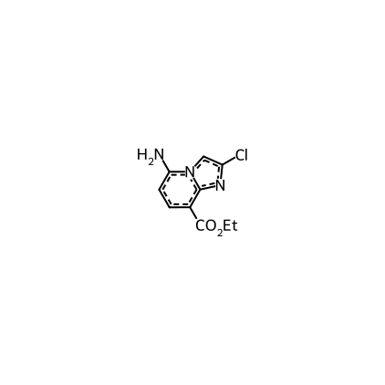 CCOC(=O)c1ccc(N)n2cc(Cl)nc12